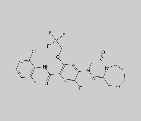 Cc1cccc(Cl)c1NC(=O)c1cc(F)c(N(C)/N=C2/COCCCN2C=O)cc1OCC(F)(F)F